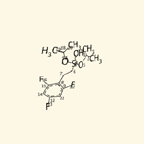 CC(C)O[Si](O)(CCc1c(F)cc(F)cc1F)OC(C)C